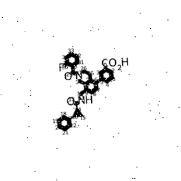 O=C(O)c1cccc(-c2ccc(CNC(=O)[C@H]3C[C@H]3c3ccccc3)c3c2CCN(C(=O)c2ccccc2F)C3)c1